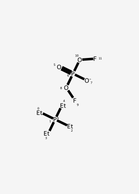 CC[P+](CC)(CC)CC.O=P([O-])(OF)OF